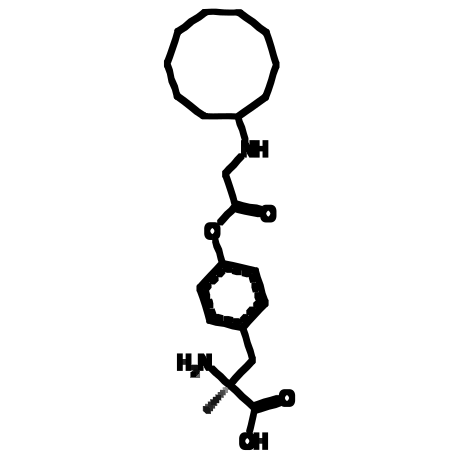 C[C@](N)(Cc1ccc(OC(=O)CNC2CCCCCCCCC2)cc1)C(=O)O